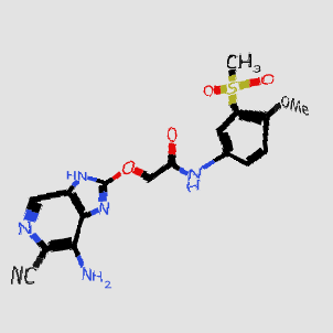 COc1ccc(NC(=O)COc2nc3c(N)c(C#N)ncc3[nH]2)cc1S(C)(=O)=O